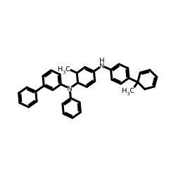 CC1C=C(Nc2ccc(C3(C)C=CC=CC3)cc2)C=CC1N(c1ccccc1)c1cccc(-c2ccccc2)c1